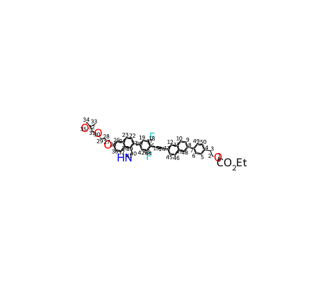 CCOC(=O)OCCc1ccc(-c2ccc3cc(C#Cc4c(F)cc(-c5ccc6cc(OCCOCC7(C)CO7)ccc6c5C=N)cc4F)ccc3c2)cc1